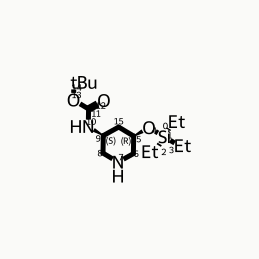 CC[Si](CC)(CC)O[C@H]1CNC[C@@H](NC(=O)OC(C)(C)C)C1